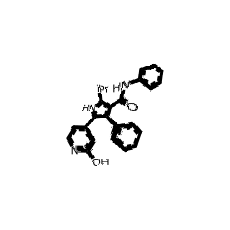 CC(C)c1[nH]c(-c2ccnc(O)c2)c(-c2ccccc2)c1C(=O)Nc1ccccc1